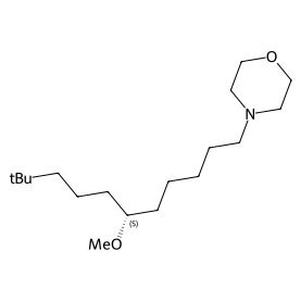 CO[C@@H](CCCCCN1CCOCC1)CCCC(C)(C)C